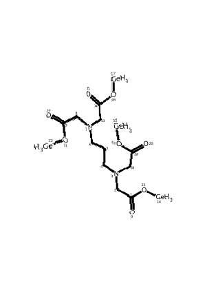 O=C(CN(CCCN(CC(=O)[O][GeH3])CC(=O)[O][GeH3])CC(=O)[O][GeH3])[O][GeH3]